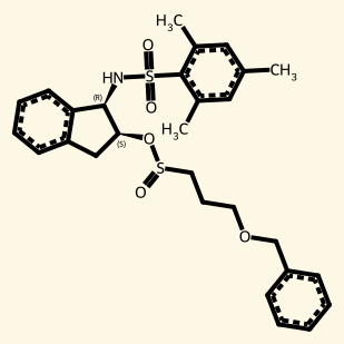 Cc1cc(C)c(S(=O)(=O)N[C@@H]2c3ccccc3C[C@@H]2OS(=O)CCCOCc2ccccc2)c(C)c1